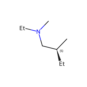 CC[C@H](C)CN(C)CC